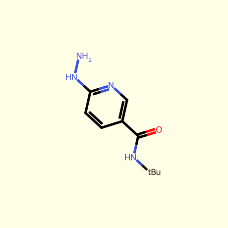 CC(C)(C)NC(=O)c1ccc(NN)nc1